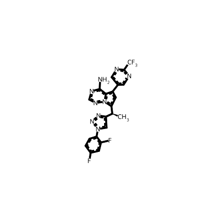 C[C@@H](c1cn(-c2ccc(F)cc2F)nn1)c1cc(-c2cnc(C(F)(F)F)nc2)c2c(N)ncnn12